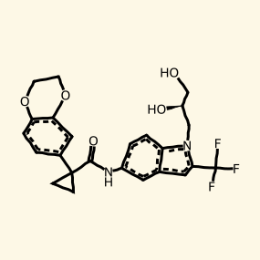 O=C(Nc1ccc2c(c1)cc(C(F)(F)F)n2C[C@@H](O)CO)C1(c2ccc3c(c2)OCCO3)CC1